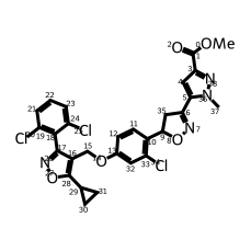 COC(=O)c1cc(C2=NOC(c3ccc(OCc4c(-c5c(Cl)cccc5Cl)noc4C4CC4)cc3Cl)C2)n(C)n1